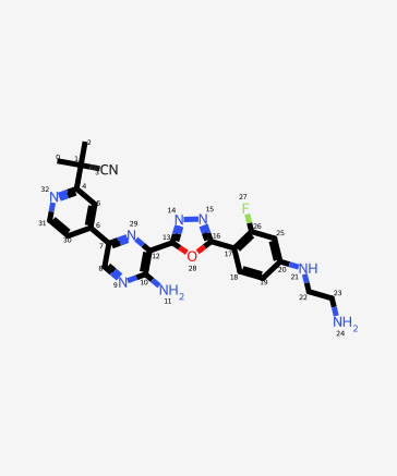 CC(C)(C#N)c1cc(-c2cnc(N)c(-c3nnc(-c4ccc(NCCN)cc4F)o3)n2)ccn1